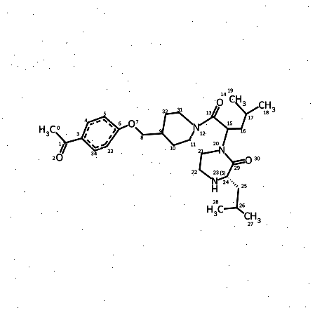 CC(=O)c1ccc(OCC2CCN(C(=O)C(CC(C)C)N3CCN[C@@H](CC(C)C)C3=O)CC2)cc1